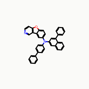 c1ccc(-c2ccc(N(c3cc(-c4ccccc4)c4ccccc4c3)c3ccc4oc5ccncc5c4c3)cc2)cc1